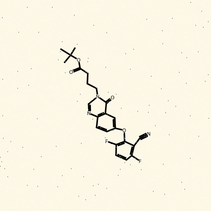 CC(C)(C)OC(=O)CCCn1cnc2ccc(Oc3c(F)ccc(F)c3C#N)cc2c1=O